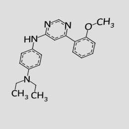 CCN(CC)c1ccc(Nc2cc(-c3ccccc3OC)ncn2)cc1